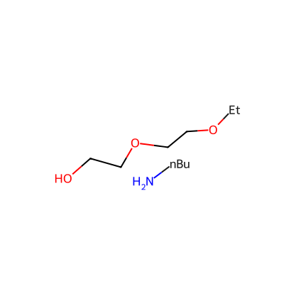 CCCCN.CCOCCOCCO